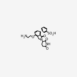 NCCOc1cccc2c1CN(C1CCC(=O)NC1=O)C2=O.O=S(=O)(O)c1ccccc1